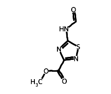 COC(=O)c1nsc(NC=O)n1